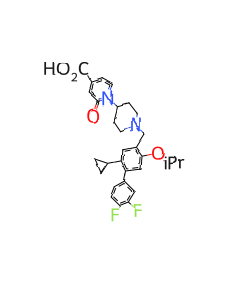 CC(C)Oc1cc(-c2ccc(F)c(F)c2)c(C2CC2)cc1CN1CCC(n2ccc(C(=O)O)cc2=O)CC1